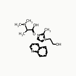 CC(C(=O)O)N(C)C.Cc1nccn1CCO.c1ccc2ncccc2c1